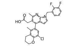 Cc1nc2c(ccn2Cc2cccc(F)c2F)c(-c2cc(Cl)c3c(c2C)CCCO3)c1CC(=O)O